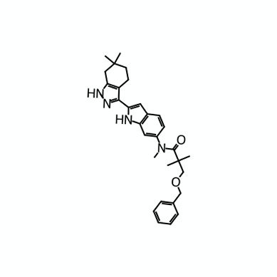 CN(C(=O)C(C)(C)COCc1ccccc1)c1ccc2cc(-c3n[nH]c4c3CCC(C)(C)C4)[nH]c2c1